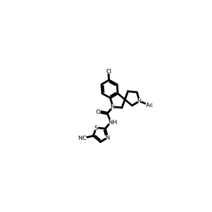 CC(=O)N1CCC2(C1)CN(C(=O)Nc1ncc(C#N)s1)c1ccc(Cl)cc12